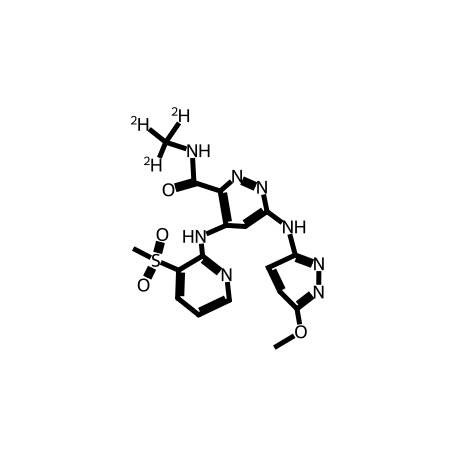 [2H]C([2H])([2H])NC(=O)c1nnc(Nc2ccc(OC)nn2)cc1Nc1ncccc1S(C)(=O)=O